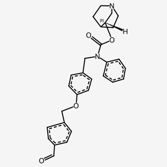 O=Cc1ccc(COc2ccc(CN(C(=O)O[C@H]3CN4CCC3CC4)c3ccccc3)cc2)cc1